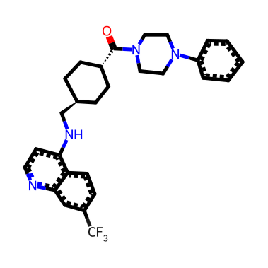 O=C([C@H]1CC[C@H](CNc2ccnc3cc(C(F)(F)F)ccc23)CC1)N1CCN(c2ccccc2)CC1